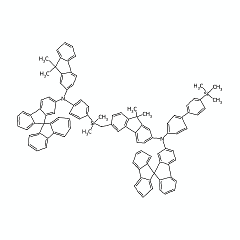 CC1(C)c2ccccc2-c2ccc(N(c3ccc([Si](C)(C)Cc4ccc5c(c4)-c4ccc(N(c6ccc(-c7ccc([Si](C)(C)C)cc7)cc6)c6ccc7c(c6)C6(c8ccccc8-c8ccccc86)c6ccccc6-7)cc4C5(C)C)cc3)c3ccc4c(c3)C3(c5ccccc5-c5ccccc53)c3ccccc3-4)cc21